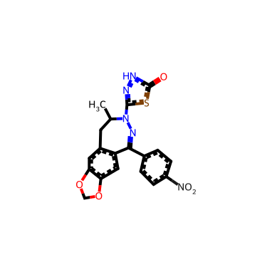 CC1Cc2cc3c(cc2C(c2ccc([N+](=O)[O-])cc2)=NN1c1n[nH]c(=O)s1)OCO3